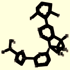 C[S+]([O-])c1ncn(-c2nccc([C@]34CC[C@@H](c5cc(-c6c(F)cccc6F)nnc53)C4(C)C)n2)n1